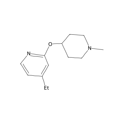 CCc1ccnc(OC2CCN(C)CC2)c1